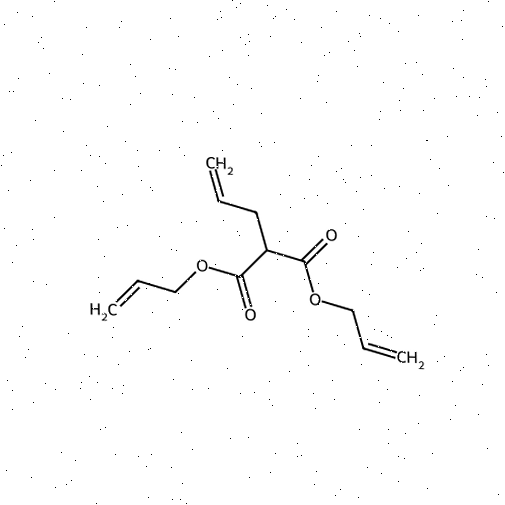 C=CCOC(=O)C(CC=C)C(=O)OCC=C